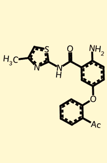 CC(=O)c1ccccc1Oc1ccc(N)c(C(=O)Nc2nc(C)cs2)c1